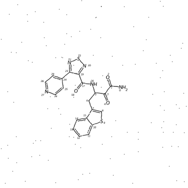 NC(=O)C(=O)C(Cc1csc2ccccc12)NC(=O)c1nsnc1-c1ccncc1